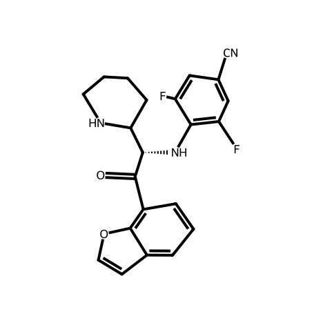 N#Cc1cc(F)c(N[C@H](C(=O)c2cccc3ccoc23)C2CCCCN2)c(F)c1